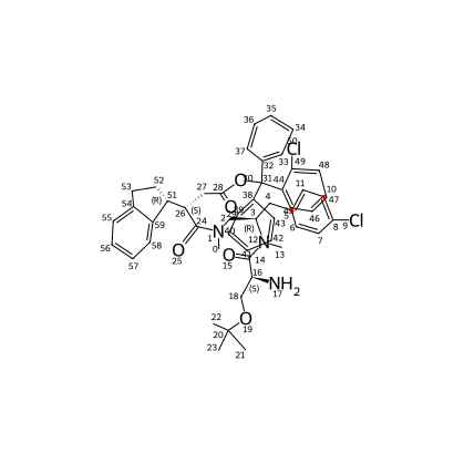 CN(C[C@@H](Cc1ccc(Cl)cc1)N(C)C(=O)[C@@H](N)COC(C)(C)C)C(=O)[C@@H](CC(=O)OC(c1ccccc1)(c1ccccc1)c1ccccc1Cl)[C@H]1CCc2ccccc21